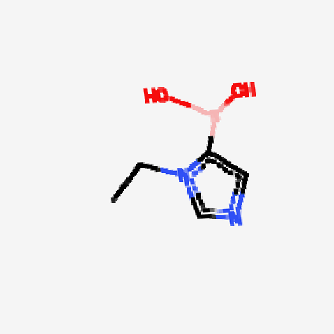 CCn1cncc1B(O)O